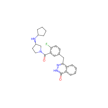 O=C(c1cc(Cc2n[nH]c(=O)c3ccccc23)ccc1F)N1CC[C@@H](NC2CCCC2)C1